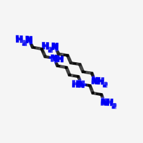 NCCCCCCN.NCCCNCCCCNCCCN